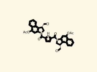 CC(=O)Oc1cc2c(c3ccccc13)[C@H](CCl)CN2C(=O)c1ccc(C(=O)N2C[C@@H](CCl)c3c2cc(OC(C)=O)c2ccccc32)[nH]1